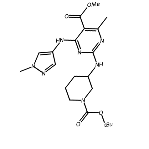 COC(=O)c1c(C)nc(NC2CCCN(C(=O)OC(C)(C)C)C2)nc1Nc1cnn(C)c1